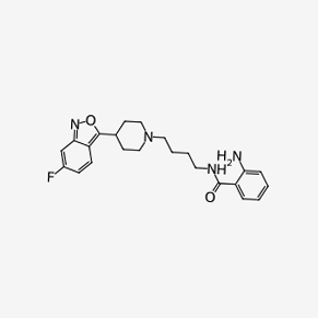 Nc1ccccc1C(=O)NCCCCN1CCC(c2onc3cc(F)ccc23)CC1